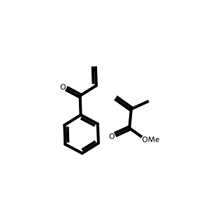 C=C(C)C(=O)OC.C=CC(=O)c1ccccc1